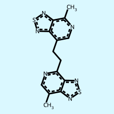 Cc1cnc(CCc2cnc(C)c3nsnc23)c2nsnc12